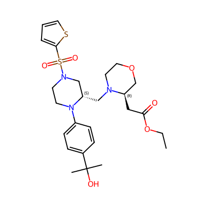 CCOC(=O)C[C@@H]1COCCN1C[C@H]1CN(S(=O)(=O)c2cccs2)CCN1c1ccc(C(C)(C)O)cc1